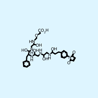 O=C(O)COCNC(O)CNC(O)C(Cc1ccccc1)NC(O)CNC(O)CNC(O)CCc1ccc(N2C(=O)C=CC2=O)cc1